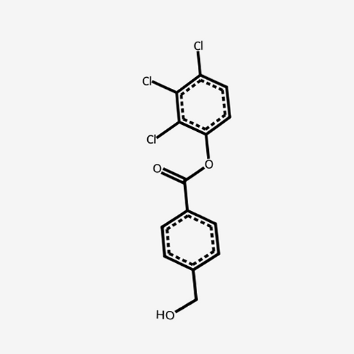 O=C(Oc1ccc(Cl)c(Cl)c1Cl)c1ccc(CO)cc1